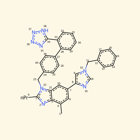 CCCc1nc2c(C)cc(-c3cn(Cc4ccccc4)cn3)cc2n1Cc1ccc(-c2ccccc2-c2nnn[nH]2)cc1